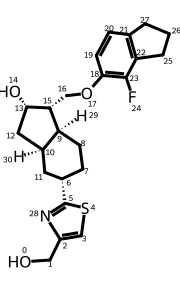 OCc1csc([C@H]2CC[C@H]3[C@@H](C2)C[C@H](O)[C@@H]3COc2ccc3c(c2F)CCC3)n1